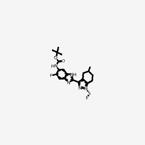 CC1CCc2c(c(-c3nc4cc(F)c(NC(=O)OC(C)(C)C)cc4[nH]3)nn2SF)C1